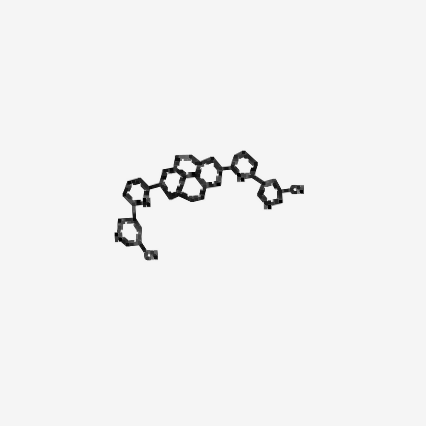 N#Cc1cncc(-c2cccc(-c3cc4ccc5cc(-c6cccc(-c7cncc(C#N)c7)n6)cc6ccc(c3)c4c56)n2)c1